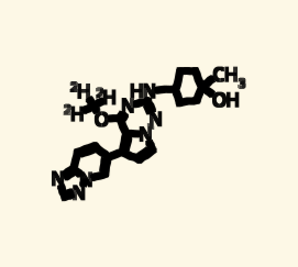 [2H]C([2H])([2H])Oc1nc(NC2CCC(C)(O)CC2)nn2ccc(-c3ccc4ncnn4c3)c12